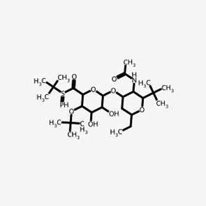 CCC1CC(OC2OC(C(=O)S(=P)C(C)(C)C)C(OC(C)(C)C)C(O)C2O)C(NC(C)=O)C(C(C)(C)C)O1